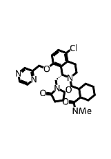 CNC(=O)C1CCCCC1C(=O)N1CCc2c(Cl)ccc(OCc3cnccn3)c2[C@H]1CN1CCCC1=O